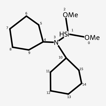 CO[SiH](OC)N(C1CCCCC1)C1CCCCC1